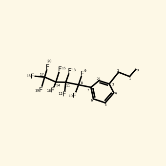 CC[CH]c1cccc(C(F)(F)C(F)(F)C(F)(F)C(F)(F)F)c1